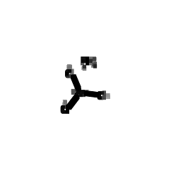 [Cl][Zn-]([Cl])[Cl].[PH4+]